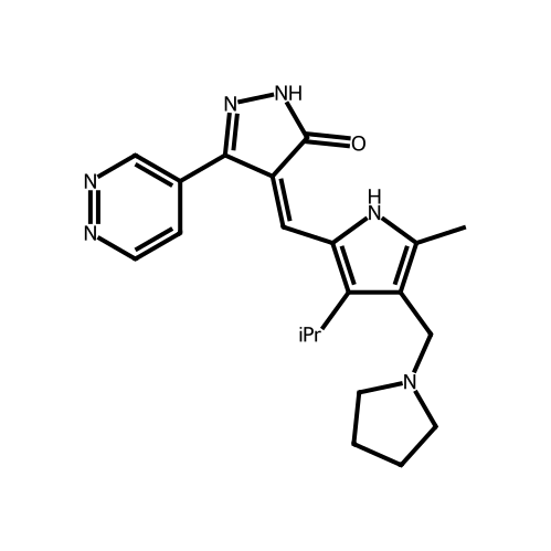 Cc1[nH]c(C=C2C(=O)NN=C2c2ccnnc2)c(C(C)C)c1CN1CCCC1